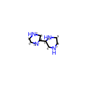 C1CNCC(C2CNCCN2)[N]1